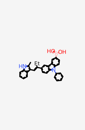 CC/C(=C\c1c(C)[nH]c2ccccc12)c1ccc2c(c1)c1cc(B(O)O)ccc1n2-c1ccccc1